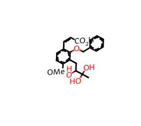 COc1ccc(/C=C\C(=O)O)c(OCc2ccccc2)c1CC(O)C(C)(O)O